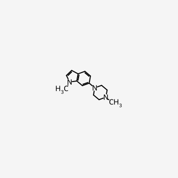 CN1CCN(c2ccc3ccn(C)c3c2)CC1